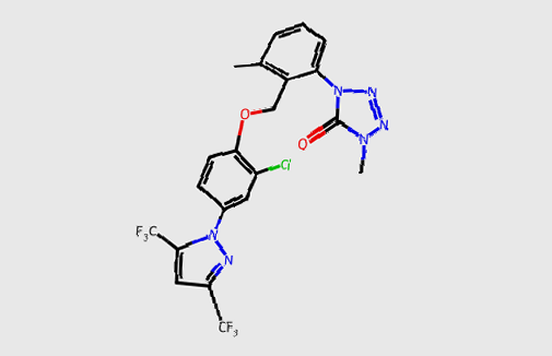 Cc1cccc(-n2nnn(C)c2=O)c1COc1ccc(-n2nc(C(F)(F)F)cc2C(F)(F)F)cc1Cl